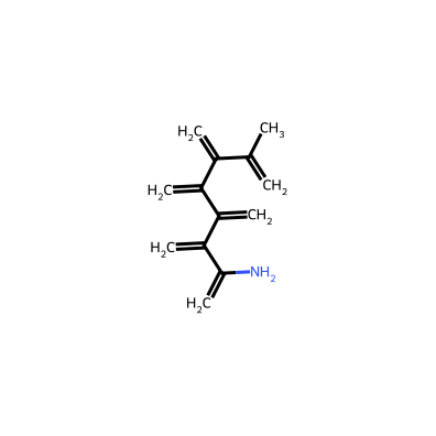 C=C(C)C(=C)C(=C)C(=C)C(=C)C(=C)N